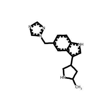 CC1CC(c2c[nH]c3ccc(Cn4cncn4)cc23)CN1